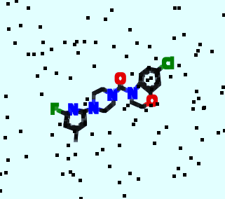 Cc1cc(F)nc(N2CCN(C(=O)N3CCOc4cc(Cl)ccc43)CC2)c1